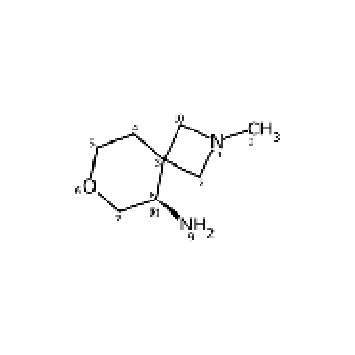 CN1CC2(CCOC[C@@H]2N)C1